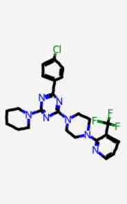 FC(F)(F)c1cccnc1N1CCN(c2nc(-c3ccc(Cl)cc3)nc(N3CCCCC3)n2)CC1